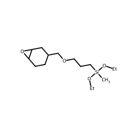 CCO[Si](C)(CCCOCC1CCC2OC2C1)OCC